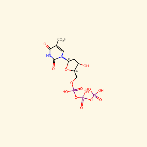 O=C(O)c1cn([C@H]2CC(O)[C@@H](COP(=O)(O)OP(=O)(O)OP(=O)(O)O)O2)c(=O)[nH]c1=O